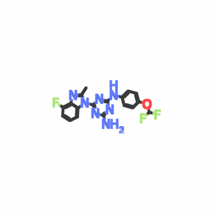 Cc1nc2c(F)cccc2n1-c1nc(N)nc(Nc2ccc(OC(F)F)cc2)n1